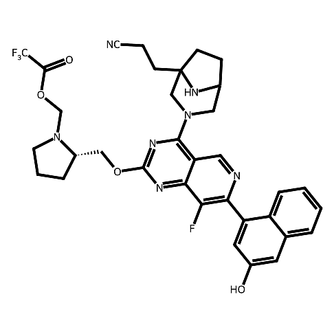 N#CCCC12CCC(CN(c3nc(OC[C@@H]4CCCN4COC(=O)C(F)(F)F)nc4c(F)c(-c5cc(O)cc6ccccc56)ncc34)C1)N2